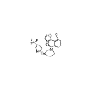 O=C(c1cccc(F)c1-c1ncco1)N1CCCC[C@@H](Oc2ccc(C(F)(F)F)cn2)C1